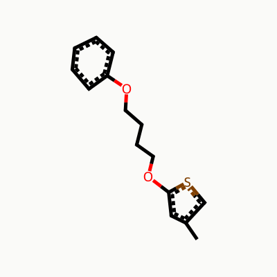 Cc1csc(OCCCCOc2ccccc2)c1